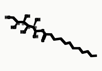 CCCCCCCCCCCC(=O)OC(O)[C@@H](O)[C@@H](O)[C@H](O)[C@H](O)CO